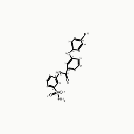 NS(=O)(=O)c1cccc(NC(=O)c2cccc(Oc3ccc(F)cc3)c2)c1